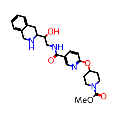 COC(=O)N1CCC(Oc2ccc(C(=O)NCC(O)C3Cc4ccccc4CN3)cn2)CC1